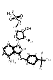 Nc1ncnc2c1c(Sc1ccc(C(F)(F)F)cc1)nn2[C@@H]1O[C@H](COS(N)(=O)=O)[C@@H](O)[C@@H]1F